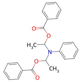 CC(OC(=O)c1ccccc1)N(c1ccccc1)C(C)OC(=O)c1ccccc1